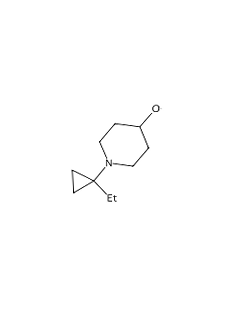 CCC1(N2CCC([O])CC2)CC1